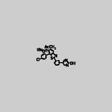 CC(=O)[C@@H](OC(C)(C)C)c1c(C)cc2nc(-c3cccc(-c4cnc(O)nc4)c3)sc2c1-c1ccc(Cl)cc1